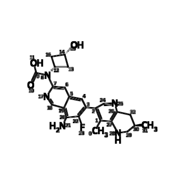 Cc1c(-c2cc3cc(N(C(=O)O)[C@H]4C[C@@H](O)C4)ncc3c(N)c2F)cnc2c1NC[C@H](C)C2